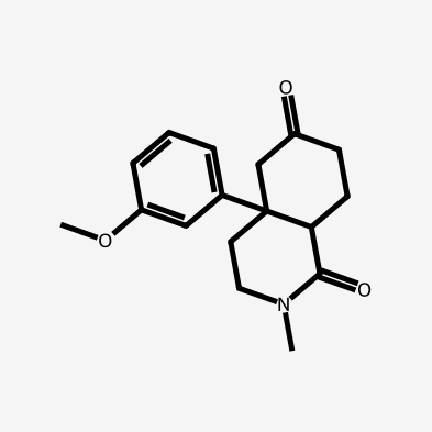 COc1cccc(C23CCN(C)C(=O)C2CCC(=O)C3)c1